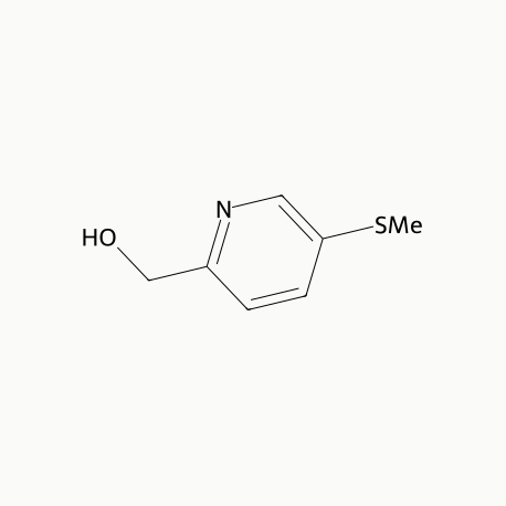 CSc1ccc(CO)nc1